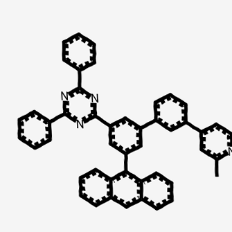 Cc1cc(-c2cccc(-c3cc(-c4nc(-c5ccccc5)nc(-c5ccccc5)n4)cc(-c4c5ccccc5cc5ccccc45)c3)c2)ccn1